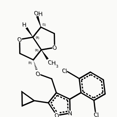 C[C@]12OC[C@H](O)[C@H]1OC[C@H]2OCc1c(-c2c(Cl)cccc2Cl)noc1C1CC1